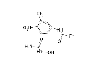 CC(C)C(=O)Nc1ccc([N+](=O)[O-])c(C(F)(F)F)c1.NC(=O)NO